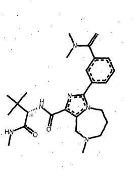 C=C(c1cccc(-c2nc(C(=O)N[C@H](C(=O)NC)C(C)(C)C)c3n2CCCN(C)C3)c1)N(C)C